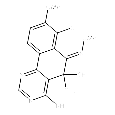 CO/N=C1\c2c(ccc(OC)c2Cl)-c2ncnc(N)c2C1(C)C